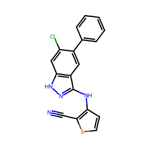 N#Cc1sccc1Nc1n[nH]c2cc(Cl)c(-c3ccccc3)cc12